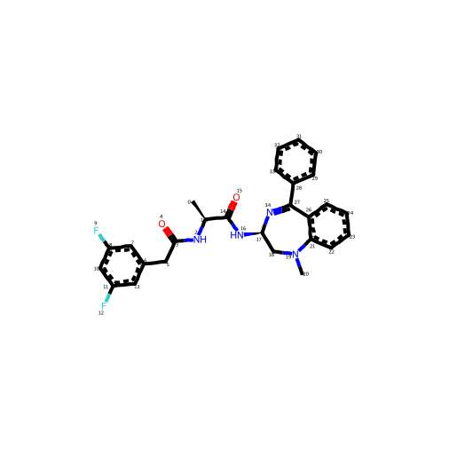 C[C@H](NC(=O)Cc1cc(F)cc(F)c1)C(=O)N[C@@H]1CN(C)c2ccccc2C(c2ccccc2)=N1